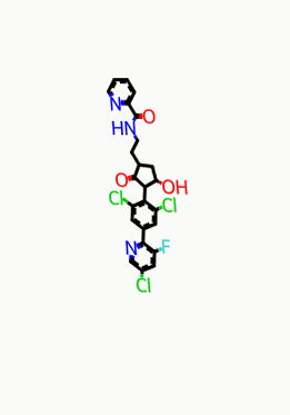 O=C(NCCC1CC(O)C(c2c(Cl)cc(-c3ncc(Cl)cc3F)cc2Cl)C1=O)c1ccccn1